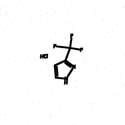 Cl.FC(F)(F)c1cc[nH]n1